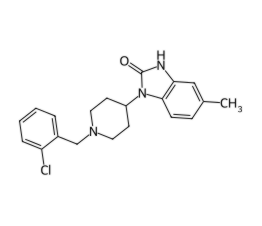 Cc1ccc2c(c1)[nH]c(=O)n2C1CCN(Cc2ccccc2Cl)CC1